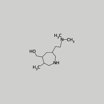 CC1CNCC(CCN(C)C)CC1CO